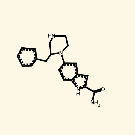 NC(=O)c1cc2cc(N3CCNCC3Cc3ccccc3)ccc2[nH]1